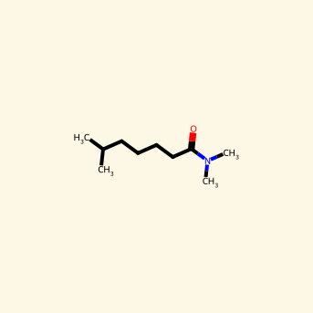 CC(C)CCCCC(=O)N(C)C